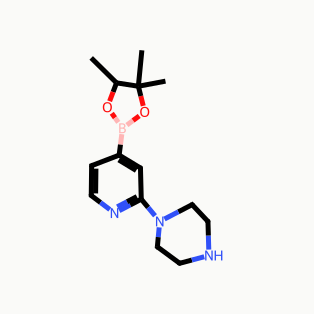 CC1OB(c2ccnc(N3CCNCC3)c2)OC1(C)C